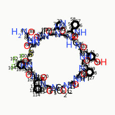 CCCC[C@H]1C(=O)N(C)CC(=O)N[C@@H](CC(=O)O)C(=O)N[C@@H](C(C)C)C(=O)N(C)[C@@H](Cc2ccccc2)C(=O)N[C@@H](Cc2ccc(O)cc2)C(=O)N(C)CC(=O)N[C@@H](Cc2c[nH]c3ccccc23)C(=O)N[C@@H](Cc2ccncc2)C(=O)N[C@@H](CC(C)C)C(=O)N[C@H](C(=O)NCC(N)=O)CSCC(=O)N[C@@H](Cc2cc(F)c(F)c(F)c2)C(=O)N(C)[C@H]2Cc3cccc(c3)N1C2=O